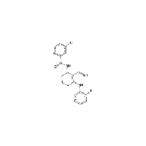 N=CC1=C(Nc2ccccc2F)CCCC1NC(=O)c1cc(Cl)ccn1